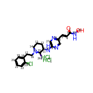 Cl.Cl.O=C(C=Cc1cnc(N[C@@H]2CCCN(CCc3ccccc3Cl)C2I)cn1)NO